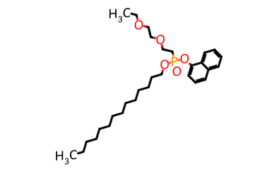 CCCCCCCCCCCCCCOP(=O)(CCOCCOCC)Oc1cccc2ccccc12